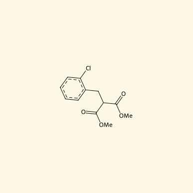 COC(=O)C(Cc1ccccc1Cl)C(=O)OC